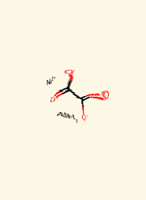 O=C([O-])C(=O)[O-].[AlH3].[Ni+2]